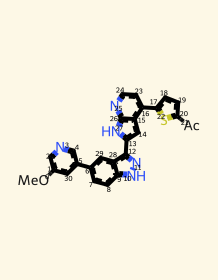 COc1cncc(-c2ccc3[nH]nc(-c4cc5c(-c6ccc(C(C)=O)s6)ccnc5[nH]4)c3c2)c1